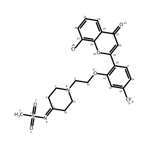 CS(=O)(=O)N=C1CCN(CCOc2cc(C(F)(F)F)ccc2-c2cc(=O)c3cccc(Cl)c3o2)CC1